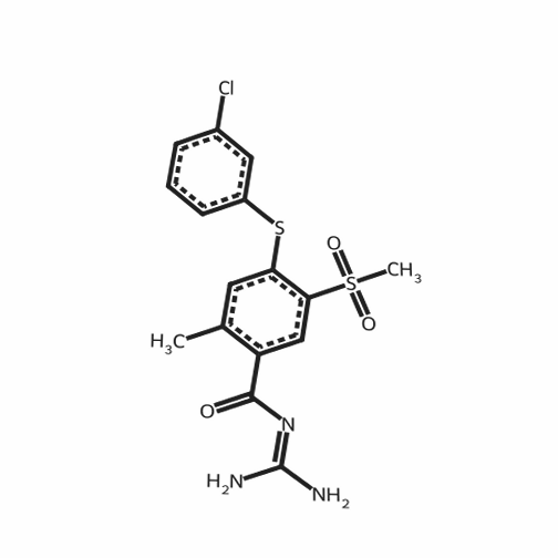 Cc1cc(Sc2cccc(Cl)c2)c(S(C)(=O)=O)cc1C(=O)N=C(N)N